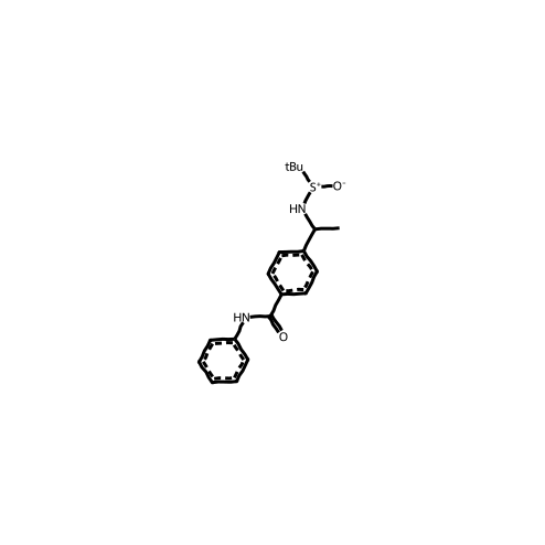 CC(N[S+]([O-])C(C)(C)C)c1ccc(C(=O)Nc2ccccc2)cc1